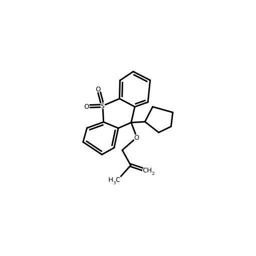 C=C(C)COC1(C2CCCC2)c2ccccc2S(=O)(=O)c2ccccc21